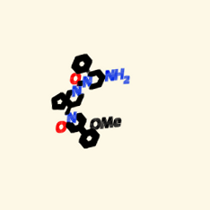 COc1ccccc1-c1ccn(C[C@@H]2CCN(C(=O)N3CC[C@@H](N)C[C@H]3c3ccccc3)CC23CCCC3)c(=O)c1